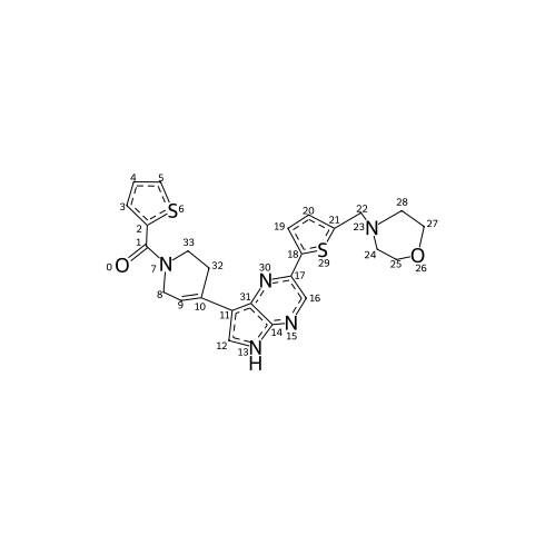 O=C(c1cccs1)N1CC=C(c2c[nH]c3ncc(-c4ccc(CN5CCOCC5)s4)nc23)CC1